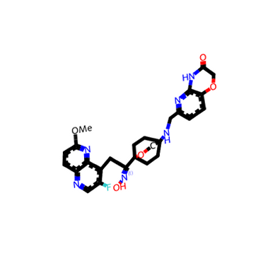 COc1ccc2ncc(F)c(C/C(=N\O)C34CCC(NCc5ccc6c(n5)NC(=O)CO6)(CC3)CO4)c2n1